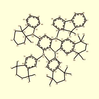 CC1(C)CCC(C)(C)c2cc(N3c4cc5c(cc4B4c6cc7c(cc6N(c6cccc8c6C(C)(C)c6ccccc6-8)c6cc(N8c9ccccc9C9(C)CCCCC89C)cc3c64)C(C)(C)CCC7(C)C)C(C)(C)CCC5(C)C)ccc21